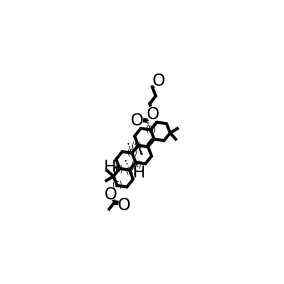 CC(=O)O[C@H]1CC[C@]2(C)[C@H]3CCC4=C5CC(C)(C)CC[C@]5(C(=O)OCCC=O)CC[C@@]4(C)[C@]3(C)CC[C@H]2C1(C)C